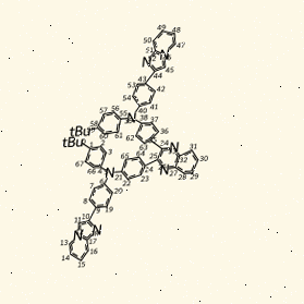 CC(C)(C)c1ccc(N(c2ccc(-c3cn4ccccc4n3)cc2)c2ccc(-c3nc4ccccc4nc3-c3ccc(N(c4ccc(-c5cn6ccccc6n5)cc4)c4ccc(C(C)(C)C)cc4)cc3)cc2)cc1